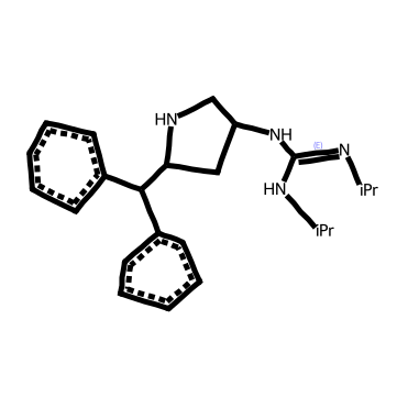 CC(C)/N=C(\NC(C)C)NC1CNC(C(c2ccccc2)c2ccccc2)C1